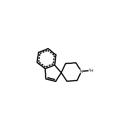 [2H]N1CCC2(C=Cc3ccccc32)CC1